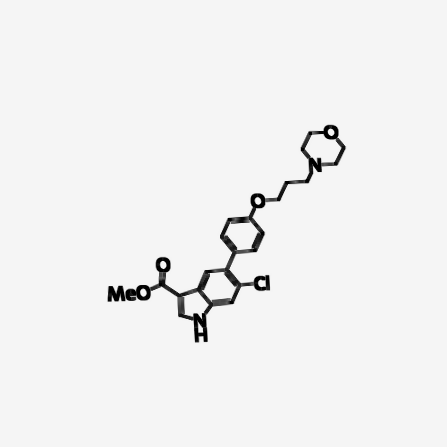 COC(=O)c1c[nH]c2cc(Cl)c(-c3ccc(OCCCN4CCOCC4)cc3)cc12